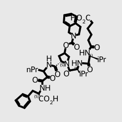 CCCC(NC(=O)[C@@H]1CC(OC(=O)N2CCc3ccccc3C2)CN1C(=O)[C@@H](NC(=O)[C@@H](NC(=O)CCCCC(=O)O)C(C)C)C(C)C)C(=O)C(=O)N[C@@H](Cc1ccccc1)C(=O)O